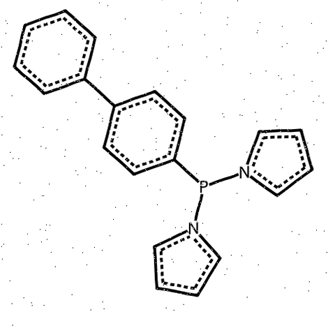 c1ccc(-c2ccc(P(n3cccc3)n3cccc3)cc2)cc1